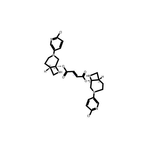 O=C(/C=C/C(=O)O[C@@]12CN(c3ccc(Cl)nc3)CC[C@H]1CN2)O[C@@]12CN(c3ccc(Cl)nc3)CC[C@H]1CN2